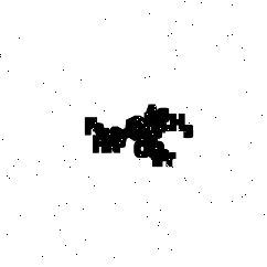 CC(=O)N1c2ccc(C3CNN(CCF)C3)cc2N(C(=O)OC(C)C)C[C@@H]1C